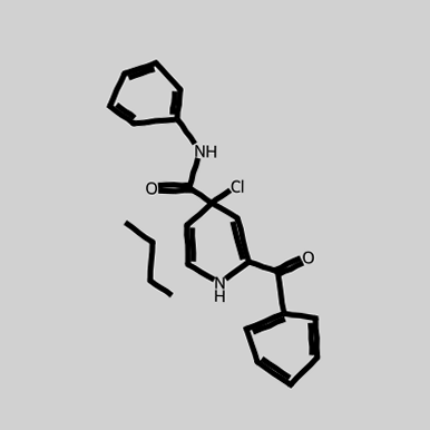 CCCC.O=C(C1=CC(Cl)(C(=O)Nc2ccccc2)C=CN1)c1ccccc1